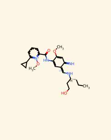 CCC[C@H](CCO)N/C=C1/C=C(NC(=O)c2cccc(C3CC3)[n+]2OC)C(OC)=CC1=N